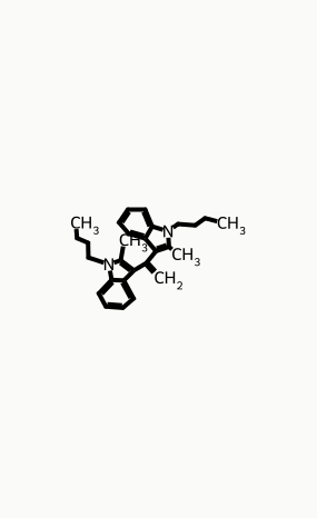 C=C(c1c(C)n(CCCC)c2ccccc12)c1c(C)n(CCCC)c2ccccc12